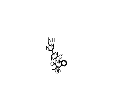 CNCc1ncc(-c2cnc(NC(=O)c3c(-c4ccccc4)noc3C)c(OC)n2)cn1